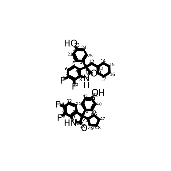 O=C1Nc2c(ccc(F)c2F)C1(CC1CCCCC1)c1ccc(O)cc1.O=C1Nc2c(ccc(F)c2F)C1(c1ccc(O)cc1)C1CCCC1